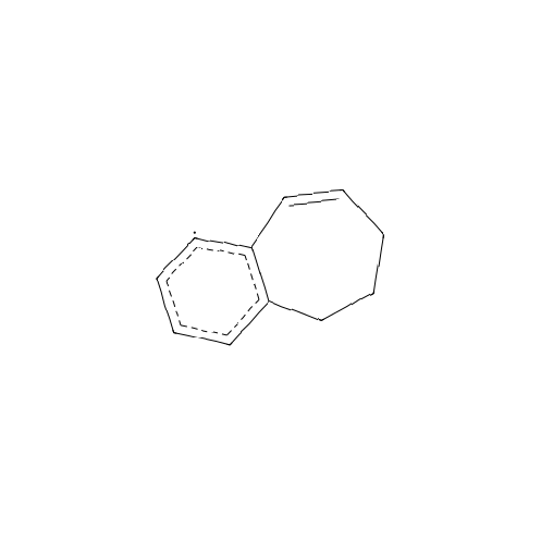 [c]1cccc2c1C=CCCC2